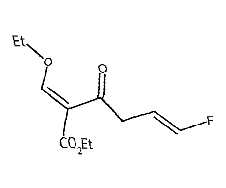 CCOC=C(C(=O)CC=CF)C(=O)OCC